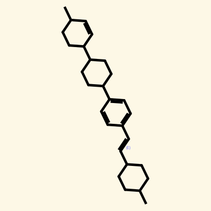 CC1C=CC(C2CCC(c3ccc(/C=C/C4CCC(C)CC4)cc3)CC2)CC1